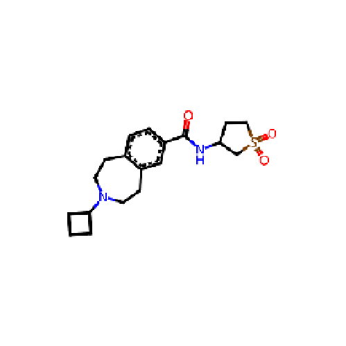 O=C(NC1CCS(=O)(=O)C1)c1ccc2c(c1)CCN(C1CCC1)CC2